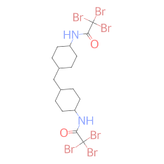 O=C(NC1CCC(CC2CCC(NC(=O)C(Br)(Br)Br)CC2)CC1)C(Br)(Br)Br